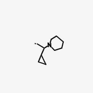 [CH2]C(C1CC1)N1CCCCC1